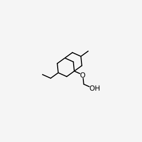 CCC1CC2CC(C)CC(OCO)(C1)C2